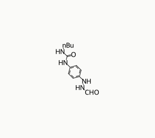 CCCCNC(=O)Nc1ccc(NNC=O)cc1